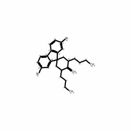 C=C1C(CCCC)CC2(CC1CCCC)c1cc(Br)ccc1-c1ccc(Br)cc12